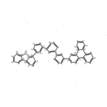 c1cc(-c2cccc(-c3ccc4c5ccccc5c5ccccc5c4c3)c2)cc(-c2cccc(-c3cccc4c3oc3ncccc34)c2)c1